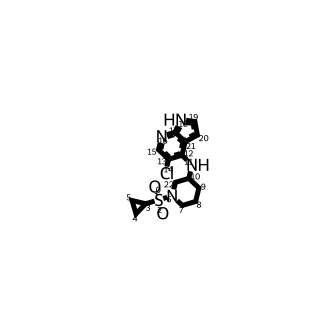 O=S(=O)(C1CC1)N1CCCC(Nc2c(Cl)cnc3[nH]ccc23)C1